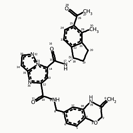 C=C1COc2ccc(CNC(=O)c3cc(C(=O)N[C@H]4CCc5c4ccc(C(C)=O)c5C)n4nccc4n3)cc2N1